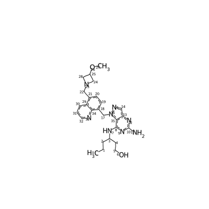 CCCC(CCO)Nc1nc(N)nc2cnn(Cc3ccc(CN4CC(OC)C4)c4cccnc34)c12